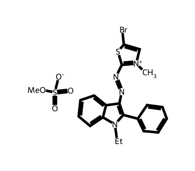 CCn1c(-c2ccccc2)c(N=Nc2sc(Br)c[n+]2C)c2ccccc21.COS(=O)(=O)[O-]